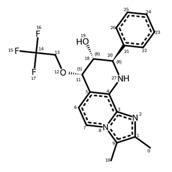 Cc1nc2c3c(ccn2c1C)[C@H](OCC(F)(F)F)[C@H](O)[C@@H](c1ccccc1)N3